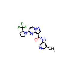 Cc1cncc(NC(=O)c2cnn3ccc(N4CCC[C@H]4C(F)(F)F)nc23)c1